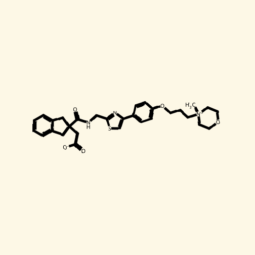 C[N+]1(CCCOc2ccc(-c3csc(CNC(=O)C4(CC(=O)[O-])Cc5ccccc5C4)n3)cc2)CCOCC1